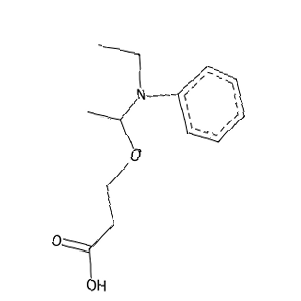 CCN(c1ccccc1)C(C)OCCC(=O)O